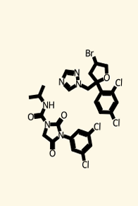 CC(C)NC(=O)N1CC(=O)N(c2cc(Cl)cc(Cl)c2)C1=O.Clc1ccc(C2(Cn3cncn3)CC(Br)CO2)c(Cl)c1